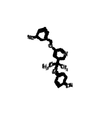 CC(C)(Oc1ccc(C#N)cc1)c1cncc(OCc2cccc(C#N)c2)c1